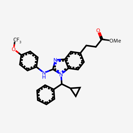 COC(=O)CCc1ccc2c(c1)nc(Nc1ccc(OC(F)(F)F)cc1)n2C(c1ccccc1)C1CC1